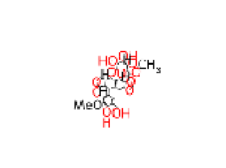 COc1cc([C@@H]2c3cc4c(cc3[C@@H](O[C@@H]3O[C@@H]5CO[C@@H](C)O[C@H]5[C@H](O)[C@H]3O)[C@H]3COC(=O)[C@H]23)OCO4)cc(CO)c1O